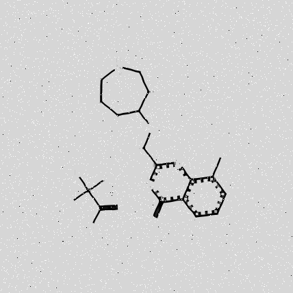 Cc1cccc2c(=O)[nH]c(CSC3CCCNCC3)nc12.O=C(O)C(F)(F)F